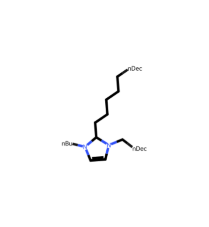 CCCCCCCCCCCCCCCC1N(CCCC)C=CN1CCCCCCCCCCC